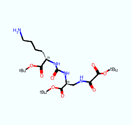 CC(C)(C)OC(=O)C(=O)NC[C@H](NC(=O)N[C@@H](CCCCN)C(=O)OC(C)(C)C)C(=O)OC(C)(C)C